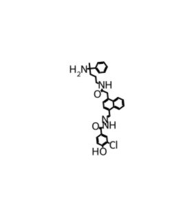 CC(N)(CCCNC(=O)Cc1ccc(/C=N/NC(=O)c2ccc(O)c(Cl)c2)c2ccccc12)c1ccccc1